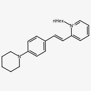 CCCCCC[n+]1ccccc1C=Cc1ccc(N2CCCCC2)cc1